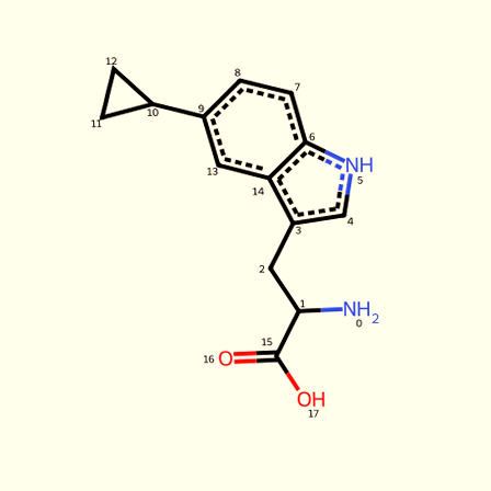 NC(Cc1c[nH]c2ccc(C3CC3)cc12)C(=O)O